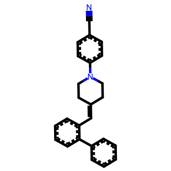 N#Cc1ccc(N2CCC(=Cc3ccccc3-c3ccccc3)CC2)cc1